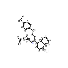 COc1ccc(SCC/C(=N\[C@@H]2C[C@@H]2C(C)=O)c2ccc(Cl)c3ccccc23)cc1